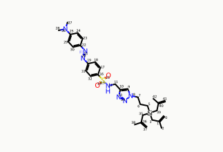 C=C(C)C[Si](CCCn1cc(CNS(=O)(=O)c2ccc(/N=N/c3ccc(N(C)C)cc3)cc2)nn1)(CC(=C)C)CC(=C)C